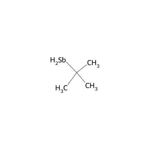 C[C](C)(C)[SbH2]